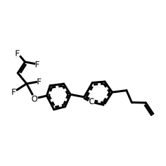 C=CCCc1ccc(-c2ccc(OC(F)(F)C=C(F)F)cc2)cc1